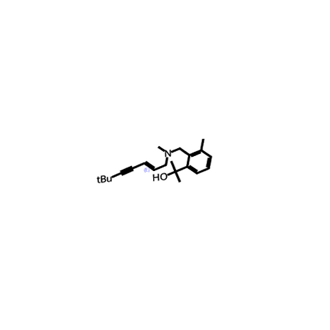 Cc1cccc(C(C)(C)O)c1CN(C)C/C=C/C#CC(C)(C)C